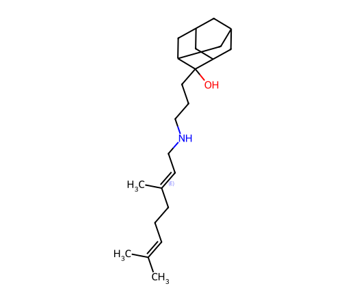 CC(C)=CCC/C(C)=C/CNCCCC1(O)C2CC3CC(C2)CC1C3